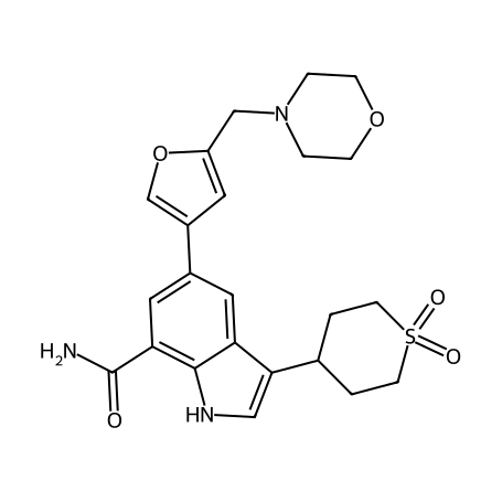 NC(=O)c1cc(-c2coc(CN3CCOCC3)c2)cc2c(C3CCS(=O)(=O)CC3)c[nH]c12